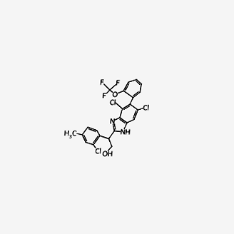 Cc1ccc(C(CO)c2nc3c(Cl)c(-c4ccccc4OC(F)(F)F)c(Cl)cc3[nH]2)c(Cl)c1